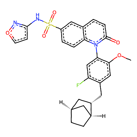 COc1cc(C[C@H]2C[C@@H]3CC[C@H]2C3)c(F)cc1-n1c(=O)ccc2cc(S(=O)(=O)Nc3ccon3)ccc21